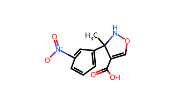 CC1(c2cccc([N+](=O)[O-])c2)NOC=C1C(=O)O